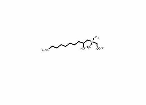 CCCCCCCCCCCCCCCCCC(O)C[N+](C)(C)CC(=O)[O-]